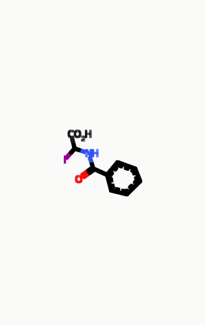 O=C(NC(I)C(=O)O)c1ccccc1